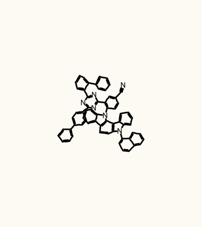 N#Cc1ccc(-n2c3ccccc3c3ccc4c(c5ccccc5n4-c4cccc5ccccc45)c32)c(-c2nc(-c3ccc(-c4ccccc4)cc3)nc(-c3ccccc3-c3ccccc3)n2)c1